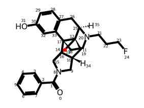 O=C(c1ccccc1)N1C[C@H]2C[C@@]34CCC1C2[C@@]31CCN(CCCF)[C@@H]4Cc2ccc(O)cc21